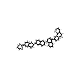 c1cnc(-c2ccc3cc(-c4ccc5nc(-c6ccc(-c7ccc8ccc9cccnc9c8n7)c7ccccc67)ccc5c4)ccc3n2)nc1